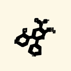 Nc1nc(-c2ccncc2)c(-c2ccncc2Cl)cc1[N+](=O)[O-]